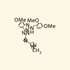 COc1ccc(CNc2nc3c(OC)cccc3c3nc(C45CC(C4)N(c4cnn(C)c4)C5)nn23)c(OC)c1